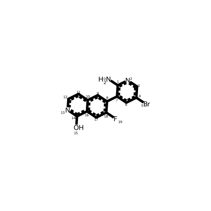 Nc1ncc(Br)cc1-c1cc2ccnc(O)c2cc1F